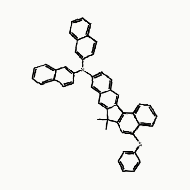 CC1(C)c2cc3cc(N(c4ccc5ccccc5c4)c4ccc5ccccc5c4)ccc3cc2-c2c1cc(Sc1ccccc1)c1ccccc21